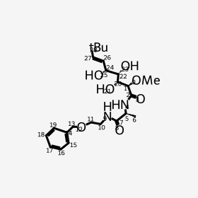 CO[C@@H](C(=O)N[C@@H](C)C(=O)NCCOCc1ccccc1)[C@H](O)[C@@H](O)[C@H](O)/C=C/C(C)(C)C